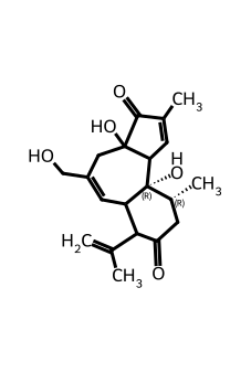 C=C(C)C1C(=O)C[C@@H](C)[C@@]2(O)C1C=C(CO)CC1(O)C(=O)C(C)=CC12